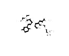 COC(=O)c1cc2c(Nc3cc(-c4cc(Cl)ccc4F)nc4c3OCCN4C(=O)OC(C)(C)C)ccnc2n1COCC[Si](C)(C)C